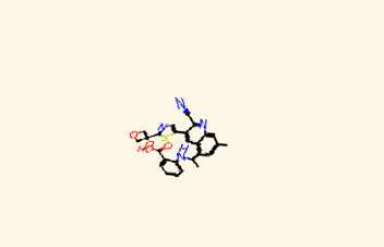 COC1(c2ncc(-c3cc4c(C(C)Nc5ccccc5C(=O)O)cc(C)cc4nc3C#N)s2)COC1